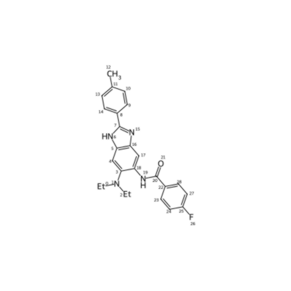 CCN(CC)c1cc2[nH]c(-c3ccc(C)cc3)nc2cc1NC(=O)c1ccc(F)cc1